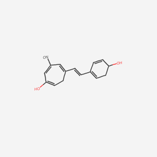 O=NC1=CC(O)=CCC(/C=C/C2=CCC(O)C=C2)=C1